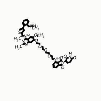 CNCc1ccccc1-c1csc([C@@H](C)Nc2nc(C)nc3cc(OCCOCCOCCOCCNc4cccc5c4C(=O)N(C4CCC(=O)NC4=O)C5=O)c(OC)cc23)c1